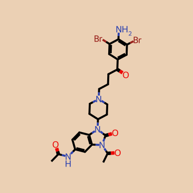 CC(=O)Nc1ccc2c(c1)n(C(C)=O)c(=O)n2C1CCN(CCCC(=O)c2cc(Br)c(N)c(Br)c2)CC1